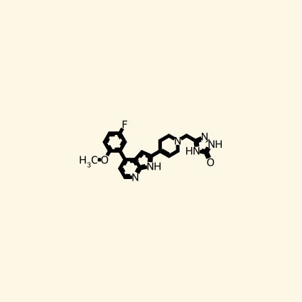 COc1ccc(F)cc1-c1ccnc2[nH]c(C3=CCN(Cc4n[nH]c(=O)[nH]4)CC3)cc12